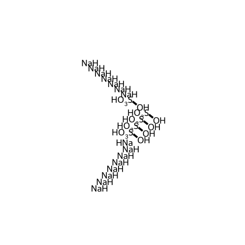 O=S(=O)(O)O.O=S(=O)(O)O.O=S(=O)(O)O.O=S(=O)(O)O.O=S(=O)(O)O.[NaH].[NaH].[NaH].[NaH].[NaH].[NaH].[NaH].[NaH].[NaH].[NaH].[NaH].[NaH].[NaH].[NaH].[NaH]